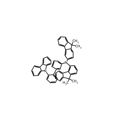 CC1(C)c2ccccc2-c2cc(N(c3cccc(-c4ccccc4-n4c5ccccc5c5ccccc54)c3)c3cccc4c3-c3ccccc3C4(C)C)ccc21